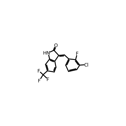 O=C1Nc2cc(C(F)(F)F)ccc2/C1=C\c1cccc(Cl)c1F